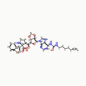 CCCCCCNC(=O)Nc1ncnc2c1ncn2C1=C2OCOC2C(C(=O)C2CCNC2(C(=O)O)c2csc3ccccc23)O1